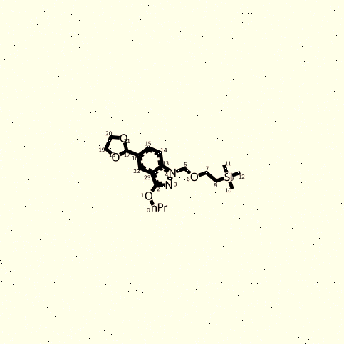 CCCOc1nn(COCC[Si](C)(C)C)c2ccc(C3OCCO3)cc12